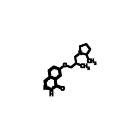 CC(COc1ccc2cn[nH]c(=O)c2c1)CN1CCCC1C